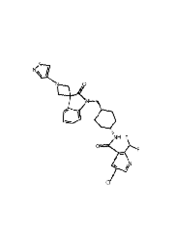 O=C(N[C@H]1CC[C@H](CN2C(=O)C3(CN(c4cnsc4)C3)c3ccccc32)CC1)c1cc(Cl)cnc1C(F)F